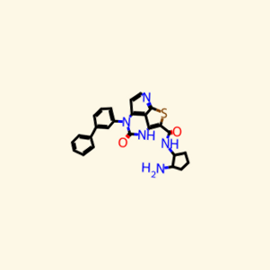 NC1CCCC1NC(=O)c1sc2nccc3c2c1NC(=O)N3c1cccc(-c2ccccc2)c1